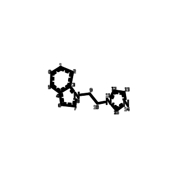 c1ccc2c(c1)ccn2CCn1ccnc1